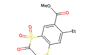 CCc1cc2c(cc1C(=O)OC)S(=O)(=O)C(=O)CS2